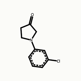 O=C1CCN(c2cccc(Cl)c2)C1